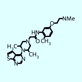 CNCCOc1ccc(C)c(NC(=O)CN2CC(C)N(c3ncnc4sccc34)C(C)C2)c1